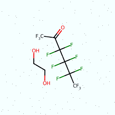 O=C(C(F)(F)F)C(F)(F)C(F)(F)C(F)(F)C(F)(F)F.OCCO